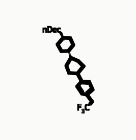 CCCCCCCCCC[C@H]1CC[C@H](C2CCC(c3ccc(CC(F)(F)F)cc3)CC2)CC1